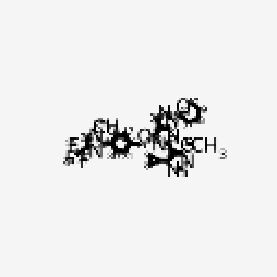 COc1ncnc(C2CC2)c1-c1nc(OCc2ccc(-c3nc(C(F)(F)F)cn3C)cc2)c2cnn(C3CCCCO3)c2n1